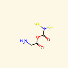 NCC(=O)OC(=O)N(S)S